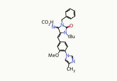 COc1cc(C=C2C(=NC(=O)O)N(Cc3ccccc3)C(=O)N2C(C)(C)C)ccc1-n1cnc(C)c1